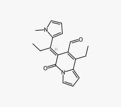 CC/C(c1cccn1C)=c1/c(C=O)c(CC)c2cccn2c1=O